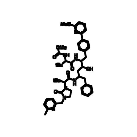 COC(=O)NC(C(=O)NC(Cc1ccc(-c2cccc(OC)n2)cc1)C(O)CC(Cc1ccccc1)NC(=O)C(N1CCN(Cc2cccc(C)n2)C1=O)C(C)(C)C)C(C)(C)C